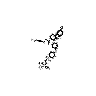 CC#CCOC(=O)N1CCc2c([nH]c3ccc(Cl)cc23)[C@@H]1c1ccc(OC2CCN(S(=O)(=O)CC[Si](C)(C)C)CC2)cc1